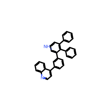 N.c1ccc(-c2cccc(-c3cccc(-c4ccnc5ccccc45)c3)c2-c2ccccc2)cc1